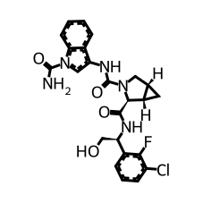 NC(=O)n1cc(NC(=O)N2C[C@@H]3C[C@@H]3[C@H]2C(=O)N[C@H](CO)c2cccc(Cl)c2F)c2ccccc21